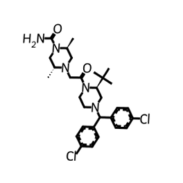 C[C@@H]1CN(C(N)=O)[C@@H](C)CN1CC(=O)N1CCN(C(c2ccc(Cl)cc2)c2ccc(Cl)cc2)C[C@@H]1C(C)(C)C